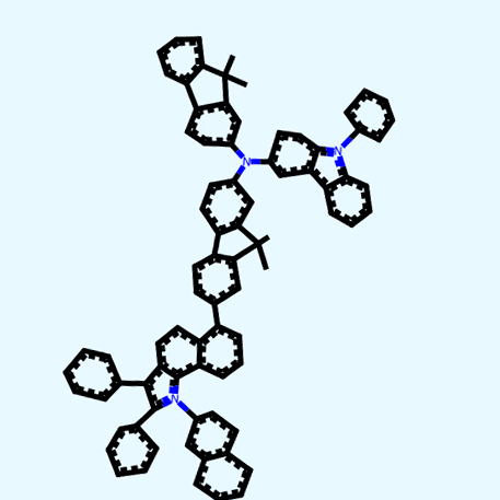 CC1(C)c2ccccc2-c2ccc(N(c3ccc4c(c3)C(C)(C)c3cc(-c5cccc6c5ccc5c(-c7ccccc7)c(-c7ccccc7)n(-c7ccc8ccccc8c7)c56)ccc3-4)c3ccc4c(c3)c3ccccc3n4-c3ccccc3)cc21